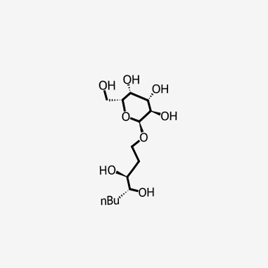 CCCC[C@@H](O)[C@@H](O)CCO[C@H]1O[C@H](CO)[C@H](O)[C@H](O)[C@H]1O